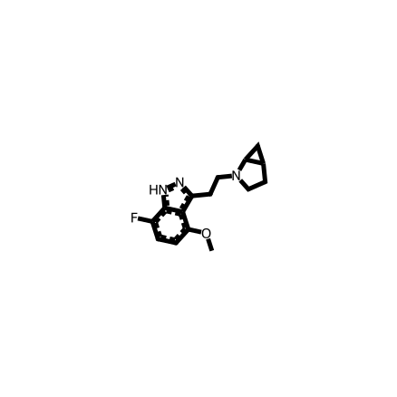 COc1ccc(F)c2[nH]nc(CCN3CCC4CC43)c12